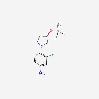 CC(C)(C)[Si](C)(C)O[C@@H]1CCN(c2ccc(N)cc2F)C1